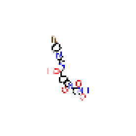 O=C1CCC(N2Cc3cc(C(O)CN4CC5(C4)CN(c4ccc(Br)cc4)C5)ccc3C2=O)C(=O)N1